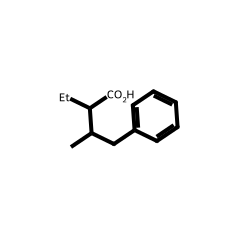 CCC(C(=O)O)C(C)Cc1ccccc1